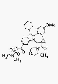 COc1ccc2c(c1)C1CC1(C(=O)N1CCOC[C@H]1C)Cn1c-2c(C2CCCCC2)c2ccc(C(=O)NS(=O)(=O)N(C)C)cc21